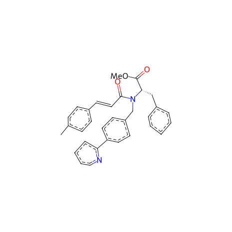 COC(=O)[C@H](Cc1ccccc1)N(Cc1ccc(-c2ccccn2)cc1)C(=O)/C=C/c1ccc(C)cc1